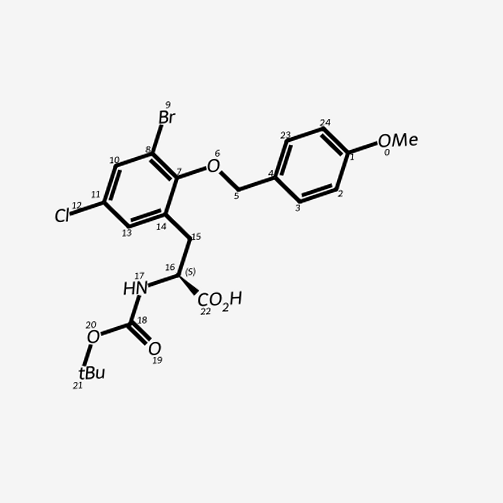 COc1ccc(COc2c(Br)cc(Cl)cc2C[C@H](NC(=O)OC(C)(C)C)C(=O)O)cc1